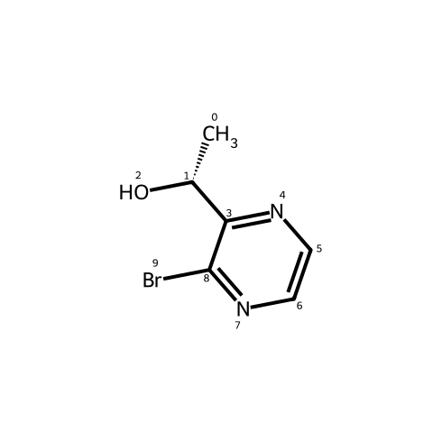 C[C@@H](O)c1nccnc1Br